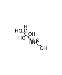 O=C(CCO)NOCC(O)[C@@H](O)[C@@H](O)CO